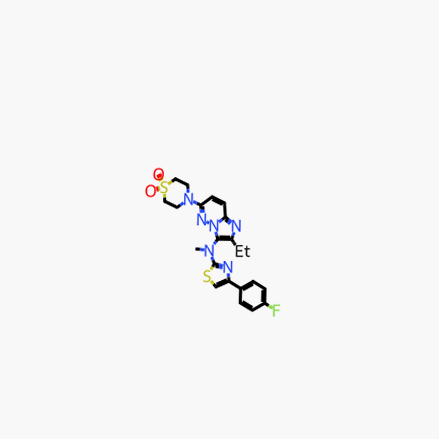 CCc1nc2ccc(N3CCS(=O)(=O)CC3)nn2c1N(C)c1nc(-c2ccc(F)cc2)cs1